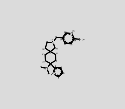 CN(C)C1(c2cccs2)CCC2(CCN(Cc3ccc(F)nc3)C2)CC1